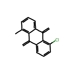 C=c1c2cccc(Cl)c2c(=C)c2cccc(C)c12